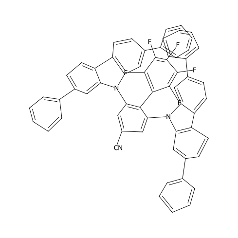 N#Cc1cc(-n2c3cc(-c4ccccc4)ccc3c3ccc(-c4ccccc4)cc32)c(-c2c(F)c(F)c(F)c(F)c2F)c(-n2c3cc(-c4ccccc4)ccc3c3ccc(-c4ccccc4)cc32)c1